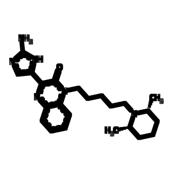 C[C@@H]1CCC[C@H](C)N1CCCCCn1c(=O)c(-c2cnc(N)[nH]2)nc2ccccc21